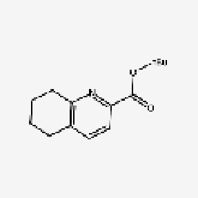 CCCCOC(=O)c1ccc2c(n1)CCCC2